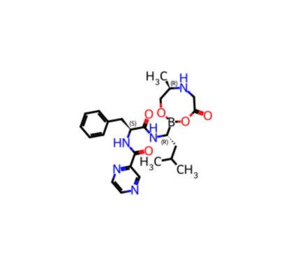 CC(C)C[C@H](NC(=O)[C@H](Cc1ccccc1)NC(=O)c1cnccn1)B1OC[C@@H](C)NCC(=O)O1